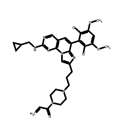 C=CC(=O)N1CCN(CCCc2cn3c(n2)c(-c2c(Cl)c(OC)cc(OC)c2Cl)cc2cnc(NCC4CC4)nc23)CC1